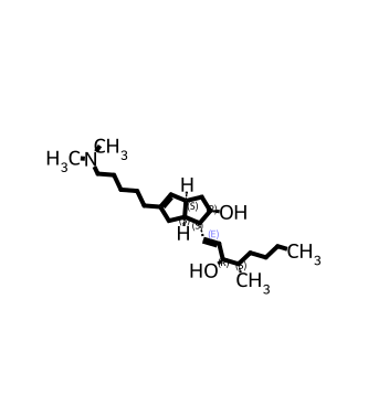 CCCC[C@H](C)[C@@H](O)/C=C/[C@@H]1[C@H]2CC(CCCCCN(C)C)=C[C@H]2C[C@H]1O